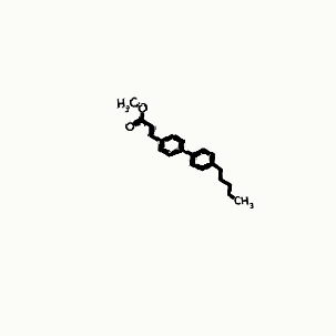 CCCCCc1ccc(-c2ccc(C=CC(=O)OC)cc2)cc1